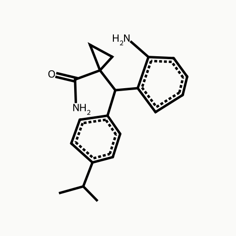 CC(C)c1ccc(C(c2ccccc2N)C2(C(N)=O)CC2)cc1